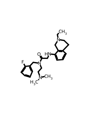 CCN1CCc2cccc(NCC(=O)N(CCN(C)C)Cc3ccccc3F)c2C1